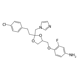 Nc1ccc(OCC2COC(CCc3ccc(Cl)cc3)(Cn3ccnc3)O2)c(F)c1